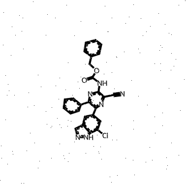 N#Cc1nc(-c2cc(Cl)c3[nH]ncc3c2)c(-c2ccccc2)nc1NC(=O)OCc1ccccc1